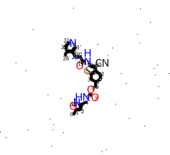 Cc1cc(CNC(=O)OCC2CCc3c(sc(NC(=O)/C=C/c4cnccc4C)c3C#N)C2)no1